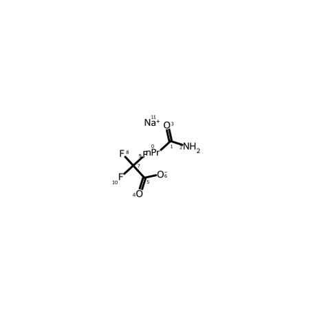 CCCC(N)=O.O=C([O-])C(F)(F)F.[Na+]